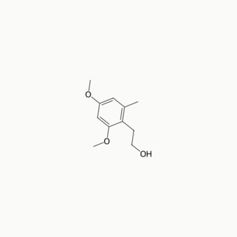 COc1cc(C)c(CCO)c(OC)c1